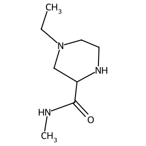 CCN1CCNC(C(=O)NC)C1